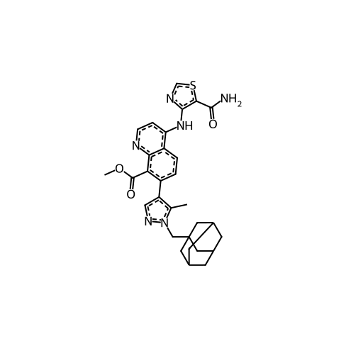 COC(=O)c1c(-c2cnn(CC34CC5CC(CC(C5)C3)C4)c2C)ccc2c(Nc3ncsc3C(N)=O)ccnc12